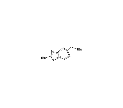 CC(C)(C)Cc1ccn2cc(C(C)(C)C)nc2c1